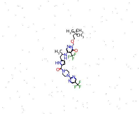 CC(Cc1ccc(C(=O)N2CCN(c3ncc(C(F)(F)F)cn3)CC2)[nH]1)Nc1cnn(COCC[Si](C)(C)C)c(=O)c1C(F)(F)F